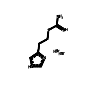 Br.Br.N=C(N)SCCc1c[nH]cn1